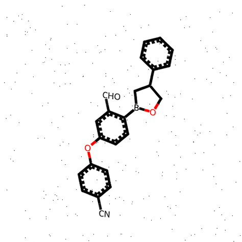 N#Cc1ccc(Oc2ccc(B3CC(c4ccccc4)CO3)c(C=O)c2)cc1